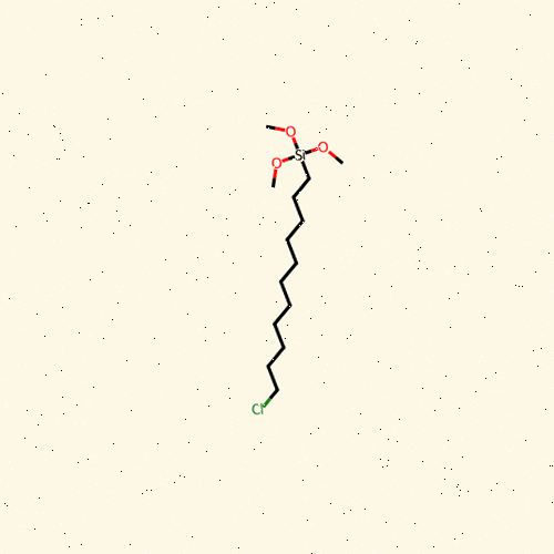 CO[Si](CCCCCCCCCCCCl)(OC)OC